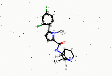 C[C@H]1[C@H](NC(=O)c2ccc(-c3ccc(F)cc3F)n2C)C2CCN1CC2